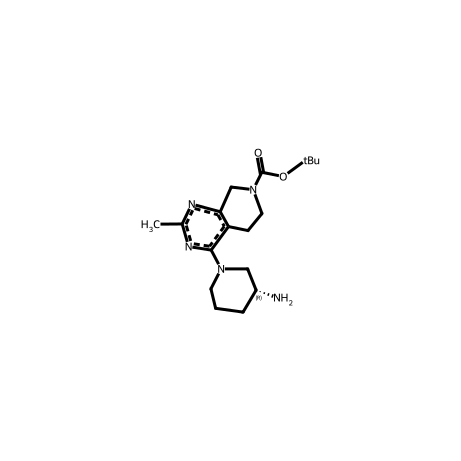 Cc1nc2c(c(N3CCC[C@@H](N)C3)n1)CCN(C(=O)OC(C)(C)C)C2